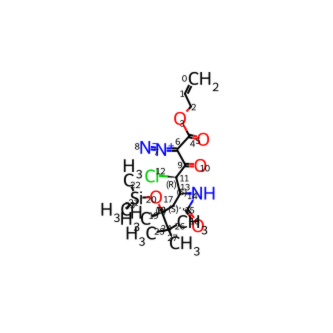 C=CCOC(=O)C(=[N+]=[N-])C(=O)[C@H](Cl)[C@H]1NC(=O)[C@@H]1[C@@](C)(O[SiH](C)C)C(C)(C)C